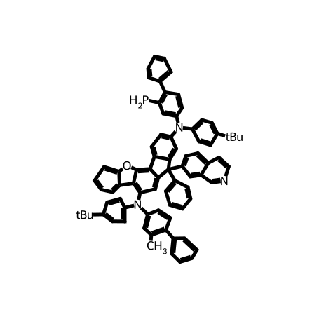 Cc1cc(N(c2ccc(C(C)(C)C)cc2)c2cc3c(c4oc5ccccc5c24)-c2ccc(N(c4ccc(C(C)(C)C)cc4)c4ccc(-c5ccccc5)c(P)c4)cc2C3(c2ccccc2)c2ccc3ccncc3c2)ccc1-c1ccccc1